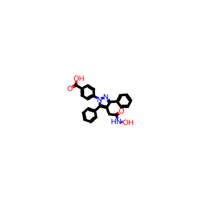 O=C(Cc1c(-c2ccccc2)nn(-c2ccc(C(=O)O)cc2)c1-c1ccccc1)NO